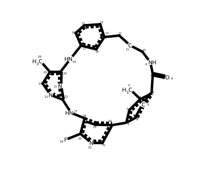 Cc1cc2ccc1C(=O)NCCCc1cccc(c1)Nc1nc(ncc1C)Nc1cc-2cnc1F